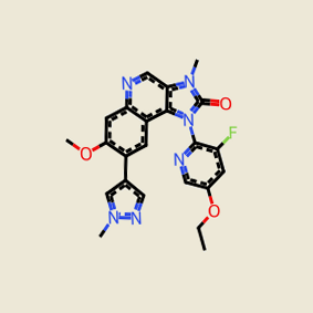 CCOc1cnc(-n2c(=O)n(C)c3cnc4cc(OC)c(-c5cnn(C)c5)cc4c32)c(F)c1